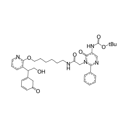 CC(C)(C)OC(=O)Nc1cnc(-c2ccccc2)n(CC(=O)NCCCCCCOc2ncccc2C(CO)C2=CC=CC(=O)C2)c1=O